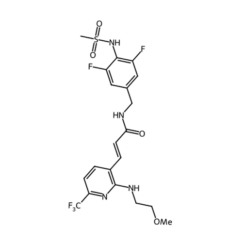 COCCNc1nc(C(F)(F)F)ccc1C=CC(=O)NCc1cc(F)c(NS(C)(=O)=O)c(F)c1